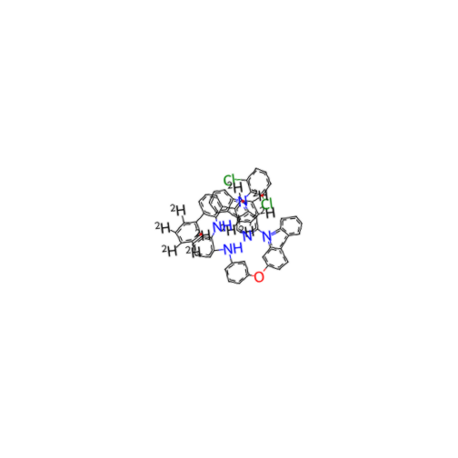 [2H]c1c([2H])c([2H])c(-c2cccc(-c3c([2H])c([2H])c([2H])c([2H])c3[2H])c2Nc2ccccc2Nc2cccc(Oc3ccc4c5ccccc5n(-c5cc6c(cn5)c5ccccc5n6-c5c(Cl)cccc5Cl)c4c3)c2)c([2H])c1[2H]